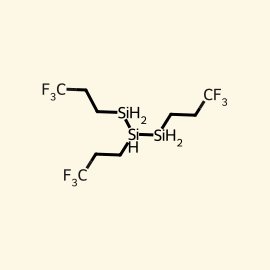 FC(F)(F)CC[SiH2][SiH](CCC(F)(F)F)[SiH2]CCC(F)(F)F